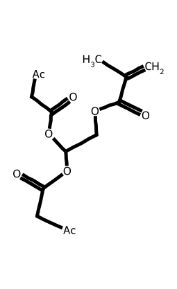 C=C(C)C(=O)OCC(OC(=O)CC(C)=O)OC(=O)CC(C)=O